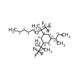 CCCCCOC(C)(C1CC(C(C)CC)CC(C(C)(C)C(F)(F)F)C1)C(F)(F)F